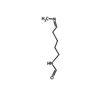 C/N=C\CCCCNC=O